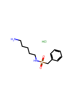 Cl.NCCCCCNS(=O)(=O)Cc1ccccc1